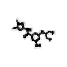 Cc1cc(NC(=O)c2cc(O)cc(OC(CF)CF)c2)nn1C